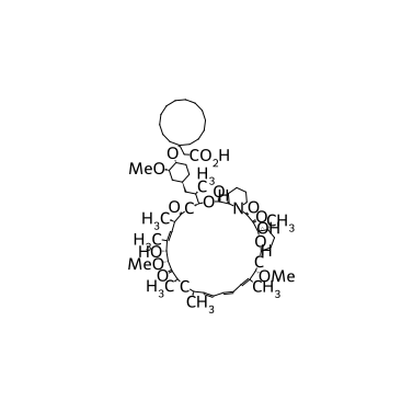 CO[C@H]1C[C@@H]2CC[C@@H](C)[C@@](O)(O2)C(=O)C(=O)N2CCCC[C@H]2C(=O)O[C@H]([C@H](C)C[C@@H]2CC[C@@H](OC3(CC(=O)O)CCCCCCCCCCCCC3)[C@H](OC)C2)CC(=O)[C@H](C)/C=C(\C)[C@@H](O)[C@@H](OC)C(=O)[C@H](C)C[C@H](C)/C=C/C=C/C=C/1C